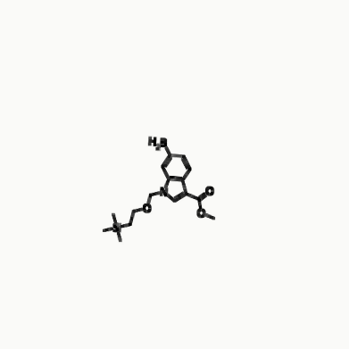 Bc1ccc2c(C(=O)OC)cn(COCC[Si](C)(C)C)c2c1